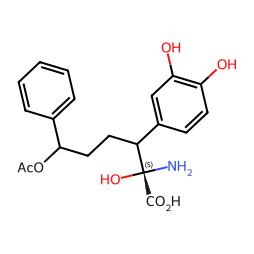 CC(=O)OC(CCC(c1ccc(O)c(O)c1)[C@](N)(O)C(=O)O)c1ccccc1